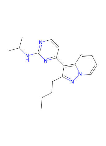 CCCCc1nn2ccccc2c1-c1ccnc(NC(C)C)n1